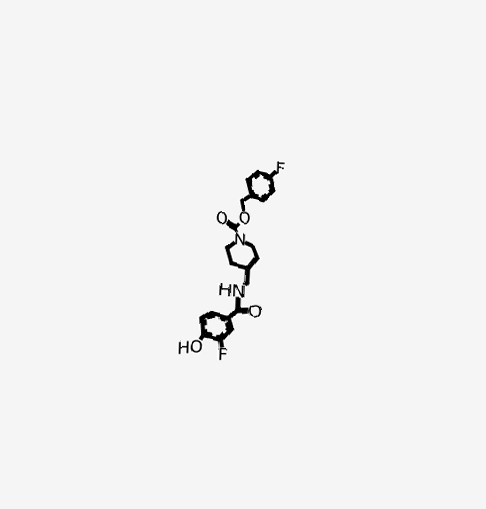 O=C(NCC1CCN(C(=O)OCc2ccc(F)cc2)CC1)c1ccc(O)c(F)c1